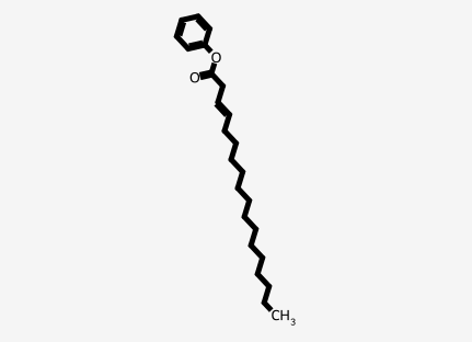 CCCCCCCCCCCCCCC=CCC(=O)Oc1ccccc1